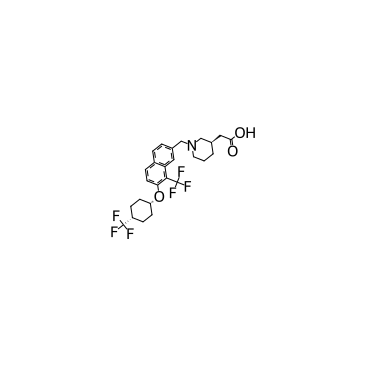 O=C(O)C[C@H]1CCCN(Cc2ccc3ccc(O[C@H]4CC[C@@H](C(F)(F)F)CC4)c(C(F)(F)F)c3c2)C1